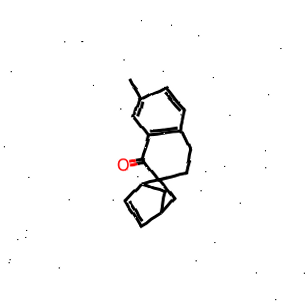 Cc1ccc2c(c1)C(=O)C1(CC2)CC2C=CC1C2